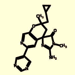 CN1C(=O)C2(CC(C)(CC3CC3)Oc3cnc(-c4cncnc4)cc32)N=C1N